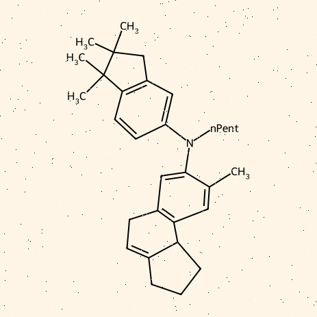 CCCCCN(c1ccc2c(c1)CC(C)(C)C2(C)C)c1cc2c(cc1C)C1CCCC1=CC2